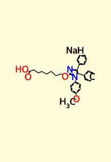 COc1ccc(-n2c(OCCCCCCCC(=O)O)nc(-c3ccccc3)c2-c2ccccc2)cc1.[NaH]